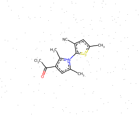 Cc1cc(C#N)c(-n2c(C)cc(C(=O)C(Cl)(Cl)Cl)c2C)s1